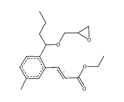 CCCC(OCC1CO1)c1ccc(C)cc1/C=C/C(=O)OCC